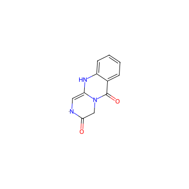 O=C1CN2C(=O)c3ccccc3NC2=C[N]1